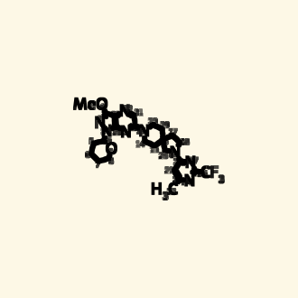 COc1nn(C2CCCCO2)c2nc(N3CCC4(CCN(c5cc(C)nc(C(F)(F)F)n5)C4)CC3)cnc12